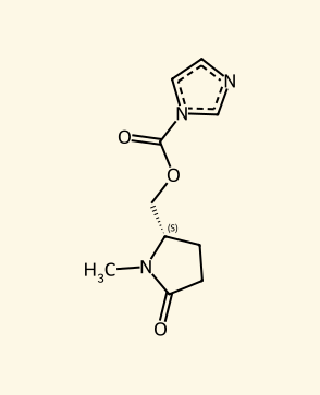 CN1C(=O)CC[C@H]1COC(=O)n1ccnc1